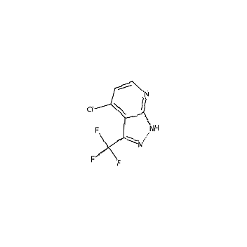 FC(F)(F)c1n[nH]c2nccc(Cl)c12